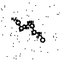 CN1CCN(c2cncc3[nH]c(-c4n[nH]c5ccc(-c6cncc(NC(=O)CC7CCCCC7)c6)cc45)cc23)CC1